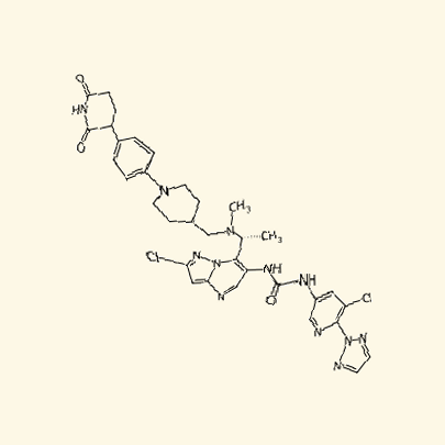 C[C@H](c1c(NC(=O)Nc2cnc(-n3nccn3)c(Cl)c2)cnc2cc(Cl)nn12)N(C)CC1CCN(c2ccc(C3CCC(=O)NC3=O)cc2)CC1